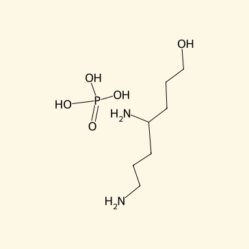 NCCCC(N)CCCO.O=P(O)(O)O